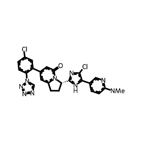 CNc1ccc(-c2[nH]c([C@@H]3CCc4cc(-c5cc(Cl)ccc5-n5cnnn5)cc(=O)n43)nc2Cl)cn1